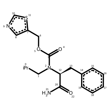 CC(C)CN(C(=O)OCc1cncs1)[C@@H](Cc1ccccc1)C(N)=O